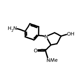 CNC(=O)C1CC(O)CN1c1ccc(N)cc1